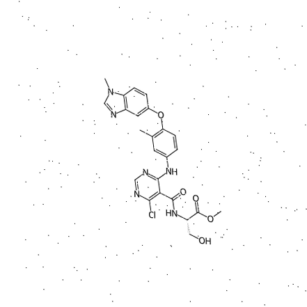 COC(=O)[C@H](CO)NC(=O)c1c(Cl)ncnc1Nc1ccc(Oc2ccc3c(c2)ncn3C)c(C)c1